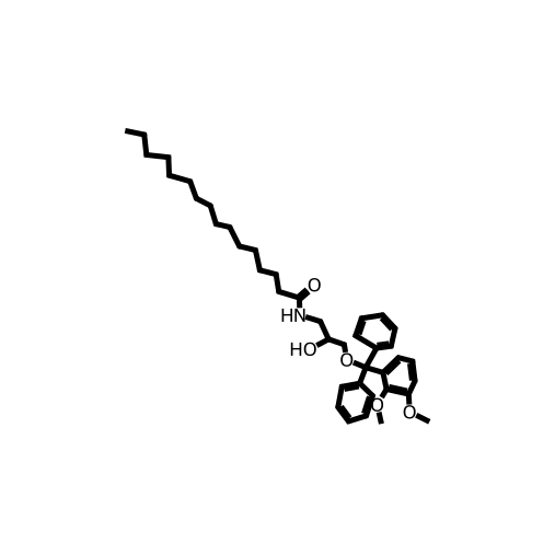 CCCCCCCCCCCCCCCC(=O)NCC(O)COC(c1ccccc1)(c1ccccc1)c1cccc(OC)c1OC